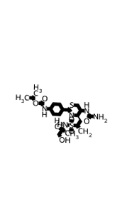 C=C(C[C@H]1N=C(C2CCC(NC(=O)OC(C)C)CC2)SCC1NC(N)=O)S(=O)(=O)NC(C)(C)CO